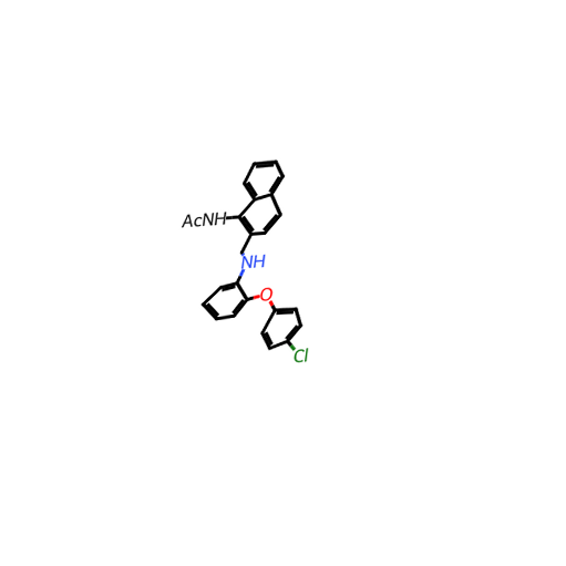 CC(=O)Nc1c(CNc2ccccc2Oc2ccc(Cl)cc2)ccc2ccccc12